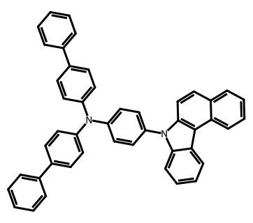 c1ccc(-c2ccc(N(c3ccc(-c4ccccc4)cc3)c3ccc(-n4c5ccccc5c5c6ccccc6ccc54)cc3)cc2)cc1